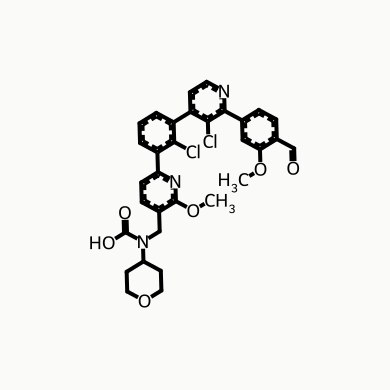 COc1cc(-c2nccc(-c3cccc(-c4ccc(CN(C(=O)O)C5CCOCC5)c(OC)n4)c3Cl)c2Cl)ccc1C=O